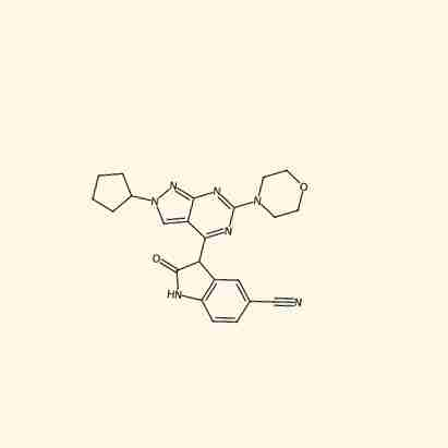 N#Cc1ccc2c(c1)C(c1nc(N3CCOCC3)nc3nn(C4CCCC4)cc13)C(=O)N2